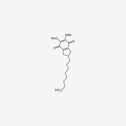 CCOC(=O)CCCCCCCC1CC2=C(C1)C(=O)C(OC)=C(OC)C2=O